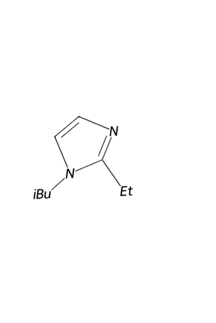 CCc1nccn1C(C)CC